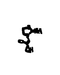 N=C1SCCN1CC(=O)O